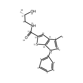 Cc1nn(-c2ccccc2)c2sc(C(=O)NC[C@H](C)O)cc12